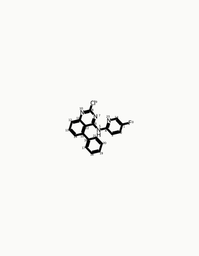 Fc1ccc(Nc2nc(Cl)nc3cccc(-c4ccccc4)c23)nc1